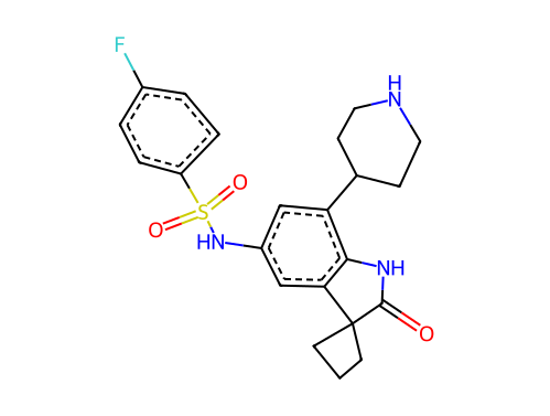 O=C1Nc2c(C3CCNCC3)cc(NS(=O)(=O)c3ccc(F)cc3)cc2C12CCC2